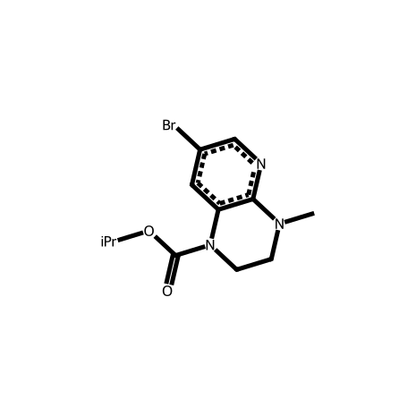 CC(C)OC(=O)N1CCN(C)c2ncc(Br)cc21